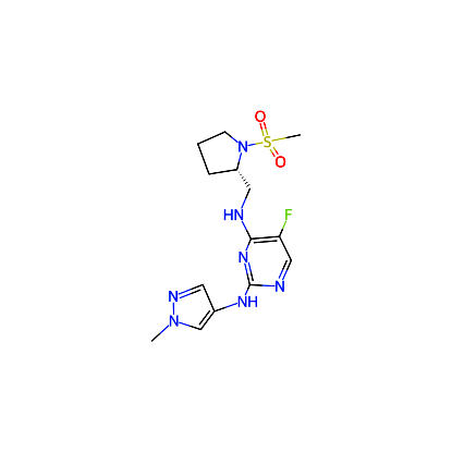 Cn1cc(Nc2ncc(F)c(NC[C@@H]3CCCN3S(C)(=O)=O)n2)cn1